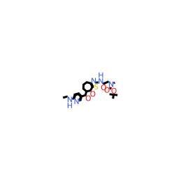 CCNc1ccc(C(=O)C2CCCc3nc(NC(=O)CN(C)C(=O)OC(C)(C)C)sc3C2=O)cn1